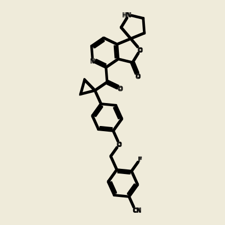 N#Cc1ccc(COc2ccc(C3(C(=O)c4nccc5c4C(=O)OC54CCNC4)CC3)cc2)c(F)c1